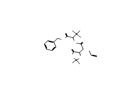 C=CC[C@@H](C(=O)NC(C(=O)OCc1ccccc1)C(C)(C)C)C1OC(C)(C)OC1=O